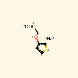 O=C([O-])COc1ccsc1.[Na+]